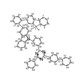 CC1(C)c2ccccc2-c2ccc(-c3ccccc3-c3ccc4c(c3)c3ccccc3n4-c3cccc(-c4nc(-c5ccccc5)nc(-c5ccc(-c6ccccc6)cc5)n4)c3)cc21